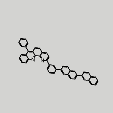 c1ccc(-c2c3ccccc3nc3c2ccc2ccc(-c4cccc(-c5ccc6cc(-c7ccc8ccccc8c7)ccc6c5)c4)nc23)cc1